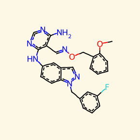 COc1ccccc1CON=Cc1c(N)ncnc1Nc1ccc2c(cnn2Cc2cccc(F)c2)c1